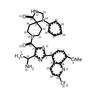 COc1ccc(-c2nc(C(C)N)c(C(=O)N3CCC4(CC3)C(=O)NCN4c3ccccc3)s2)c2ccc(C(F)(F)F)nc12